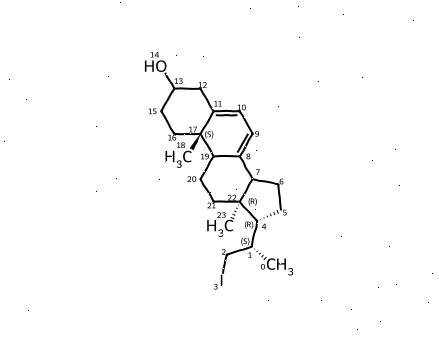 C[C@H](CI)[C@H]1CCC2C3=CC=C4CC(O)CC[C@@]4(C)C3CC[C@@]21C